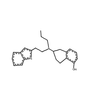 CCCN(CCc1cc2ccccc2s1)C1CCc2c(O)cccc2C1